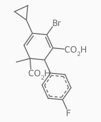 CC1(C(=O)O)C=C(C2CC2)C(Br)=C(C(=O)O)C1c1ccc(F)cc1